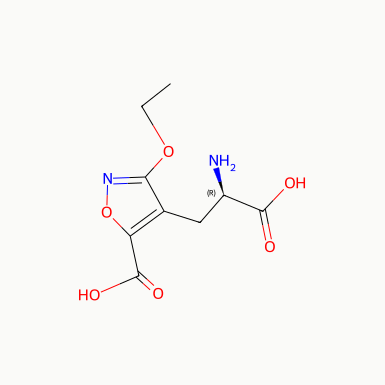 CCOc1noc(C(=O)O)c1C[C@@H](N)C(=O)O